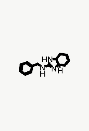 c1ccc(CNC2=N[C@H]3CCCCC3N2)cc1